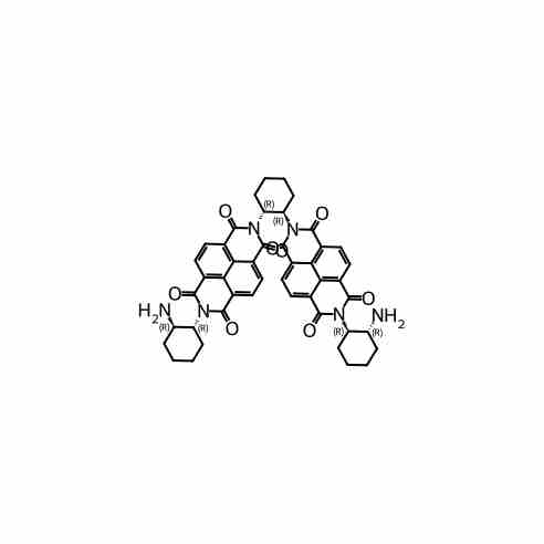 N[C@@H]1CCCC[C@H]1N1C(=O)c2ccc3c4c(ccc(c24)C1=O)C(=O)N([C@@H]1CCCC[C@H]1N1C(=O)c2ccc4c5c(ccc(c25)C1=O)C(=O)N([C@@H]1CCCC[C@H]1N)C4=O)C3=O